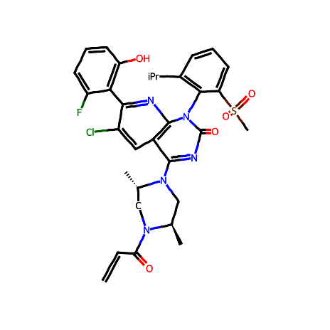 C=CC(=O)N1C[C@H](C)N(c2nc(=O)n(-c3c(C(C)C)cccc3S(C)(=O)=O)c3nc(-c4c(O)cccc4F)c(Cl)cc23)C[C@H]1C